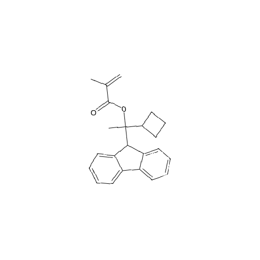 C=C(C)C(=O)OC(C)(C1CCC1)C1c2ccccc2-c2ccccc21